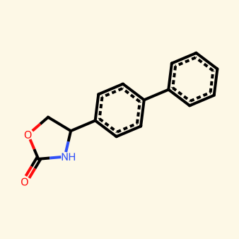 O=C1NC(c2ccc(-c3ccccc3)cc2)CO1